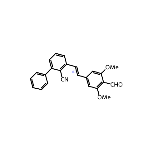 COc1cc(/C=C/c2cccc(-c3ccccc3)c2C#N)cc(OC)c1C=O